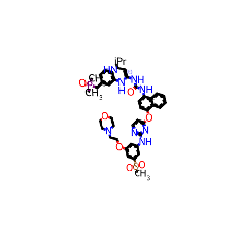 CC(C)C(=N)/C=C(/NC(=O)Nc1ccc(Oc2ccnc(Nc3cc(OCCN4CCOCC4)cc(S(C)(=O)=O)c3)n2)c2ccccc12)Nc1cccc(CP(C)(C)=O)c1